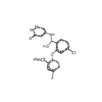 COc1cc(F)ccc1Oc1cc(Cl)ccc1C(O)Nc1cn[nH]c(=O)c1